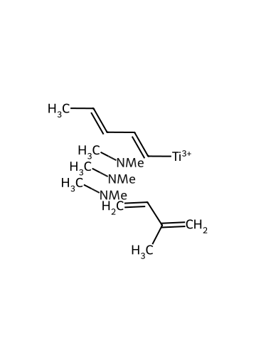 C=CC(=C)C.CC=CC=[CH][Ti+3].C[N-]C.C[N-]C.C[N-]C